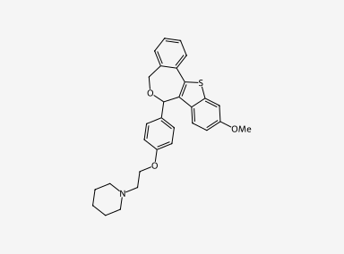 COc1ccc2c3c(sc2c1)-c1ccccc1COC3c1ccc(OCCN2CCCCC2)cc1